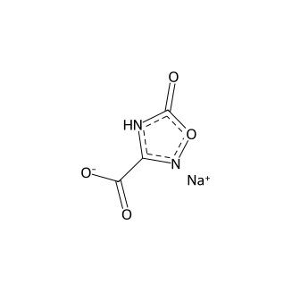 O=C([O-])c1noc(=O)[nH]1.[Na+]